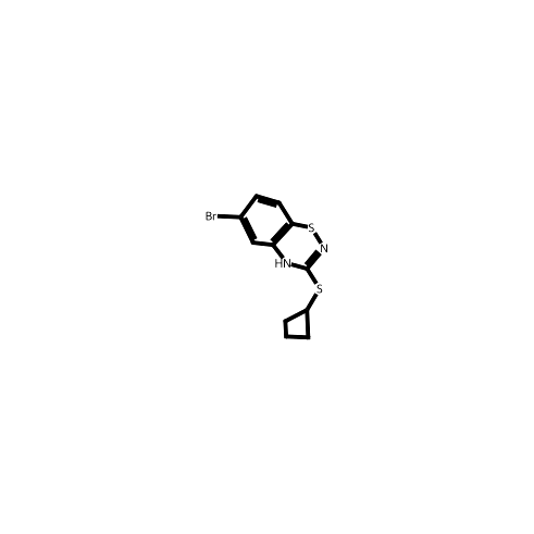 Brc1ccc2c(c1)NC(SC1CCC1)=NS2